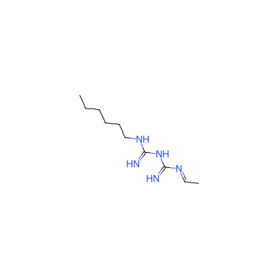 CC=NC(=N)NC(=N)NCCCCCC